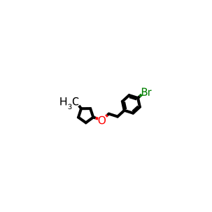 CC1CCC(OCCc2ccc(Br)cc2)C1